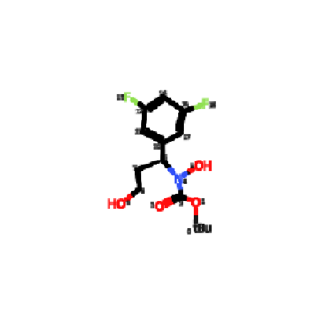 CC(C)(C)OC(=O)N(O)[C@@H](CCO)c1cc(F)cc(F)c1